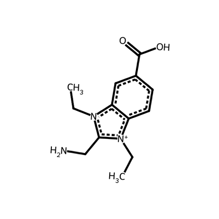 CCn1c(CN)[n+](CC)c2ccc(C(=O)O)cc21